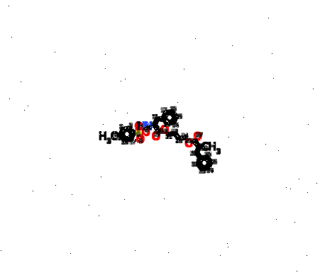 Cc1ccc(S(=O)(=O)ONC(Cc2ccccc2)C(=O)OCCCCOC(=O)C(C)Cc2ccccc2)cc1